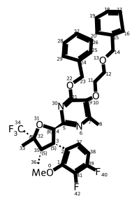 COc1c([C@H]2[C@H](c3nc(C)c(OCCOCc4ccccc4)c(OCc4ccccc4)n3)O[C@@](C)(C(F)(F)F)[C@H]2C)ccc(F)c1F